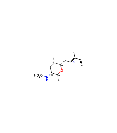 C=C/C(C)=C/C[C@@H]1O[C@H](C)[C@H](NC(=O)O)C[C@@H]1C